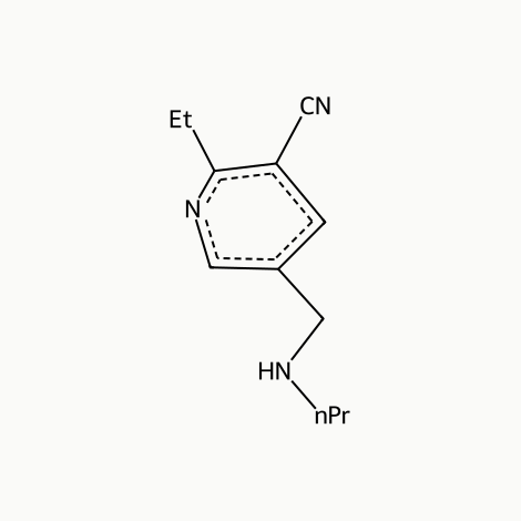 CCCNCc1cnc(CC)c(C#N)c1